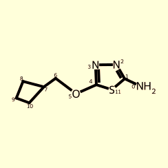 Nc1nnc(OCC2CCC2)s1